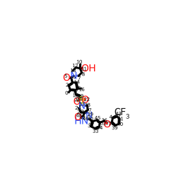 Cc1cc(C(=O)N2CCC(C)(O)CC2)cc(C)c1C=CS(=O)(=O)N1CCC2(CC1)N=C(c1cccc(COc3cccc(C(F)(F)F)c3)c1)NC2=O